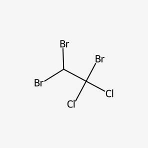 ClC(Cl)(Br)C(Br)Br